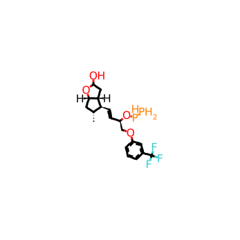 C[C@@H]1C[C@@H]2OC(O)C[C@@H]2[C@H]1/C=C/[C@H](COc1cccc(C(F)(F)F)c1)OPP